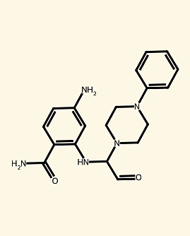 NC(=O)c1ccc(N)cc1NC(C=O)N1CCN(c2ccccc2)CC1